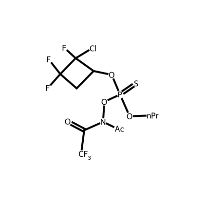 CCCOP(=S)(OC1CC(F)(F)C1(F)Cl)ON(C(C)=O)C(=O)C(F)(F)F